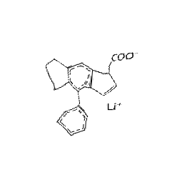 O=C([O-])C1C=Cc2c1cc1c(c2-c2ccccc2)CCC1.[Li+]